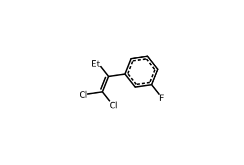 CCC(=C(Cl)Cl)c1cccc(F)c1